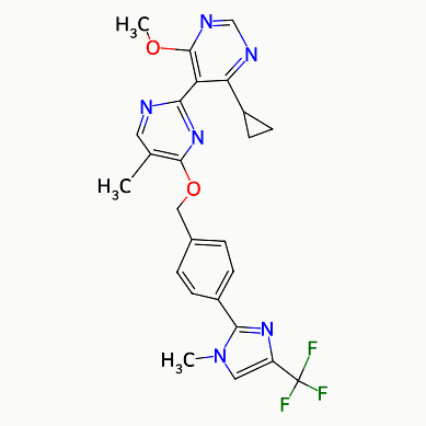 COc1ncnc(C2CC2)c1-c1ncc(C)c(OCc2ccc(-c3nc(C(F)(F)F)cn3C)cc2)n1